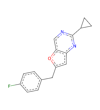 Fc1ccc(Cc2cc3nc(C4CC4)ncc3o2)cc1